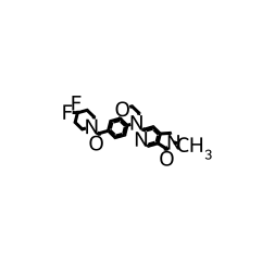 CN1Cc2cc(N3CCOc4cc(C(=O)N5CCC(F)(F)CC5)ccc43)ncc2C1=O